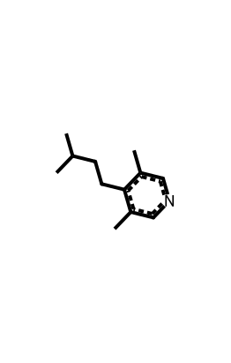 Cc1cncc(C)c1CCC(C)C